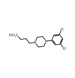 CCOC(=O)CCCN1CCN(c2cc(Cl)cc(Cl)c2)CC1